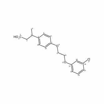 CC(CC(=O)O)c1ccc(OCCOc2cccc(Cl)c2)cc1